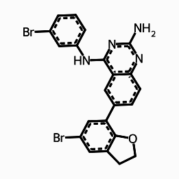 Nc1nc(Nc2cccc(Br)c2)c2cc(-c3cc(Br)cc4c3OCC4)ccc2n1